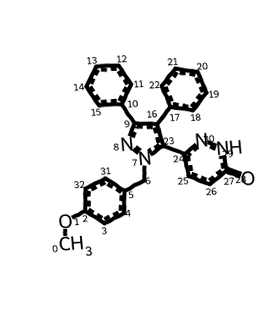 COc1ccc(Cn2nc(-c3ccccc3)c(-c3ccccc3)c2-c2ccc(=O)[nH]n2)cc1